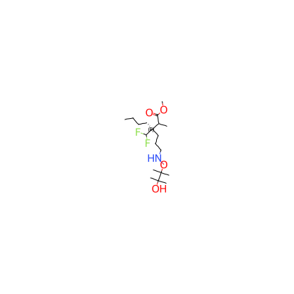 CCCC[C@](CCCNOC(C)(C)C(C)(C)O)(C(F)F)C(C)C(=O)OC